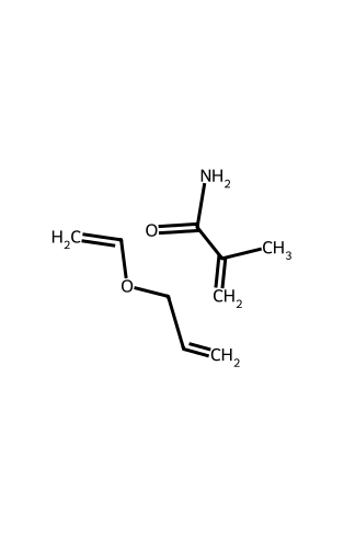 C=C(C)C(N)=O.C=CCOC=C